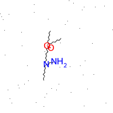 CCCCCCCCN(CCCN)CCCCCCCC(=O)OC(CCCCCC)CCCCCC